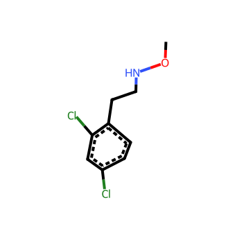 CONCCc1ccc(Cl)cc1Cl